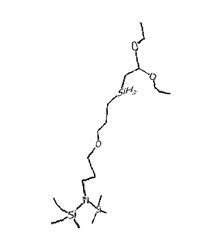 CCOC(C[SiH2]CCCOCCCN([Si](C)(C)C)[Si](C)(C)C)OCC